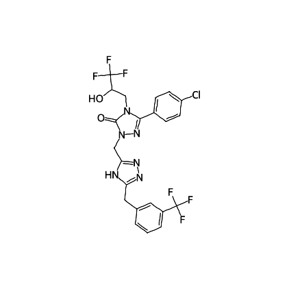 O=c1n(Cc2nnc(Cc3cccc(C(F)(F)F)c3)[nH]2)nc(-c2ccc(Cl)cc2)n1CC(O)C(F)(F)F